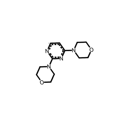 [c]1cc(N2CCOCC2)nc(N2CCOCC2)n1